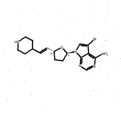 Nc1ncnc2c1c(Br)cn2[C@H]1CC[C@H](/C=C/C2CCNCC2)O1